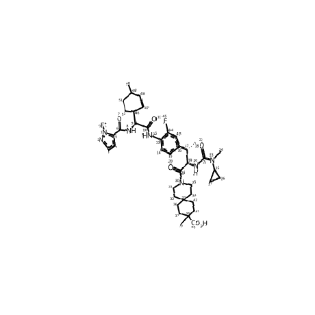 CCn1nccc1C(=O)N[C@H](C(=O)Nc1ccc([C@H](C)[C@@H](NC(=O)N(C)C2CC2)C(=O)N2CCC3(CC2)CCC(C)(C(=O)O)CC3)cc1F)C1CCC(C)CC1